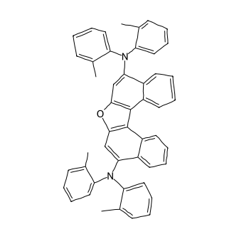 Cc1ccccc1N(c1ccccc1C)c1cc2oc3cc(N(c4ccccc4C)c4ccccc4C)c4ccccc4c3c2c2ccccc12